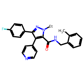 CCn1nc(-c2ccc(F)cc2)c(-c2ccncc2)c1C(=O)NCc1ccccc1C